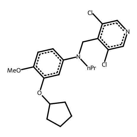 [CH2]CCN(Cc1c(Cl)cncc1Cl)c1ccc(OC)c(OC2CCCC2)c1